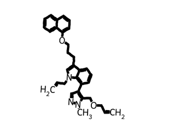 C=CCOCc1c(-c2cccc3c(CCCOc4cccc5ccccc45)cn(CC=C)c23)cnn1C